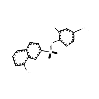 O=[N+]([O-])c1ccc(OS(=O)(=O)c2ccc3cccc(O)c3c2)c([N+](=O)[O-])c1